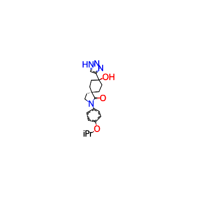 CC(C)Oc1ccc(N2CC[C@]3(CC[C@@](O)(c4c[nH]nn4)CC3)C2=O)cc1